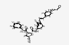 O=CNc1ccc(/C=C/c2ccc(NC(=O)[C@@H]3CCCN3C(=O)Cc3ccccc3)cc2)cc1